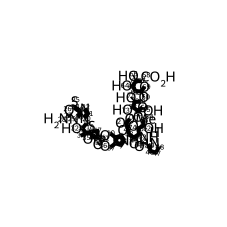 COC(=O)[C@]1(Oc2[nH]cc3c2COP(=O)(C2CC4(C2)SC(n2cnc5c(=S)oc(N)nc52)C(O)C4(C)O)OC3)C[C@H](O)[C@@H](NC(=O)[C@H]2CCCN2)[C@H]([C@H](O)[C@@H](CO)O[C@@H]2O[C@@H](O[C@H]3C[C@H](O)[C@@H](O)[C@H](C(=O)O)O3)[C@H](O)[C@@H]2O)O1